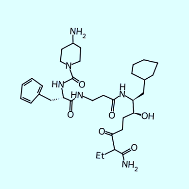 CCC(C(N)=O)C(=O)CC[C@H](O)[C@H](CC1CCCCC1)NC(=O)CCNC(=O)[C@H](Cc1ccccc1)NC(=O)N1CCC(N)CC1